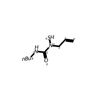 C=CCN(S)C(=O)NCCCC